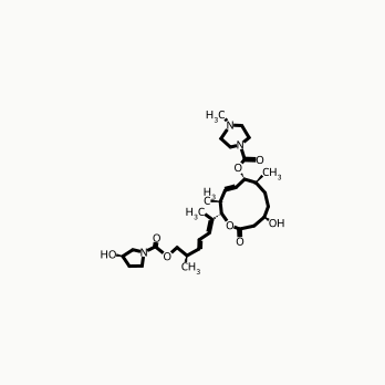 C/C(=C\C=C\[C@@H](C)COC(=O)N1CC[C@@H](O)C1)[C@H]1OC(=O)C[C@H](O)CC[C@H](C)[C@@H](OC(=O)N2CCN(C)CC2)/C=C/[C@@H]1C